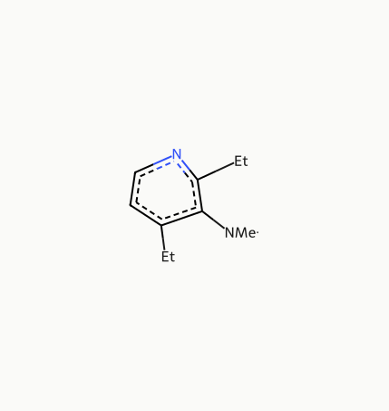 CCc1ccnc(CC)c1[N]C